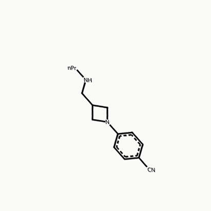 CCCNCC1CN(c2ccc(C#N)cc2)C1